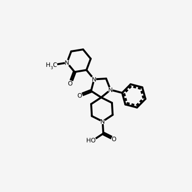 CN1CCCC(N2CN(c3ccccc3)C3(CCN(C(=O)O)CC3)C2=O)C1=O